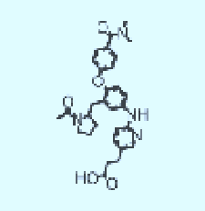 CC(=O)N1CCCC1Cc1cc(Nc2ccc(CCC(=O)O)cn2)ccc1Oc1ccc(C(=O)N(C)C)cc1